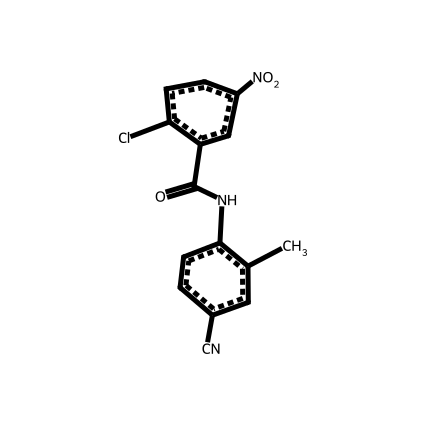 Cc1cc(C#N)ccc1NC(=O)c1cc([N+](=O)[O-])ccc1Cl